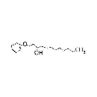 CCCCCCCCCC(O)CCOc1ccccc1